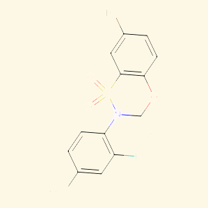 C[C@H]1Oc2ccc(Br)cc2S(=O)(=O)N1c1ccc(C(=O)O)cc1F